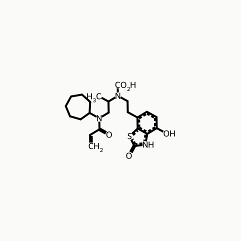 C=CC(=O)N(CC(C)N(CCc1ccc(O)c2[nH]c(=O)sc12)C(=O)O)C1CCCCCC1